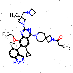 C=CC(=O)N1CC2(CCN(c3nc(N4CC(C)(CN5CCC5)C4)nc4c(OCC(F)(F)F)c(-c5c(C)ccc6[nH]ncc56)c(C5CC5)cc34)CC2)C1